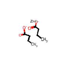 CCCC(=O)[O-].CCCC(=O)[O-].[Zn+2]